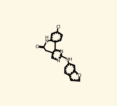 O=C1Cc2cnc(Nc3ccc4ccoc4c3)nc2-c2ccc(Cl)cc2N1